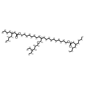 CCCCC(CCCC)CC(=O)OCCCCCCCCCCC(CCCCCCCCOC(=O)CC(CCCC)CCCC)COCCCN(CC)CC